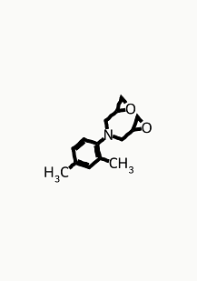 Cc1ccc(N(CC2CO2)CC2CO2)c(C)c1